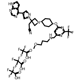 COCCCNCc1cc(O[C@H]2CC[C@@H](N3CC(CC#N)(n4cc(-c5ncnc6[nH]ccc56)cn4)C3)CC2)nc(C(F)(F)F)n1.O=C(O)C(F)(F)F.O=C(O)C(F)(F)F.O=C(O)C(F)(F)F